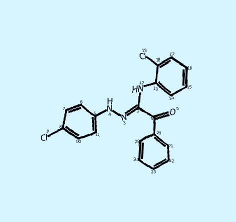 O=C(/C(=N/Nc1ccc(Cl)cc1)Nc1ccccc1Cl)c1ccccc1